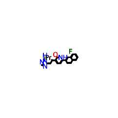 CC(C)C(Cc1ncn[nH]1)c1ccc(-c2ccc3cccc(F)c3c2)[nH]c1=O